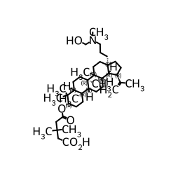 C=C(C)[C@@H]1CC[C@]2(CCCN(C)CO)CC[C@]3(C)[C@H](CC[C@@H]4[C@@]5(C)CC[C@H](OC(=O)CC(C)(C)CC(=O)O)C(C)(C)[C@@H]5CC[C@]43C)[C@@H]12